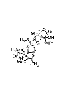 [2H]C(C)(c1c(OC)c(C)cc2nc3c(cc12)C(C)n1c-3cc2c(c1=O)COC(=O)[C@]2(O)CC(C)C)N(C)CC